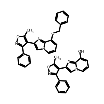 Cc1onc(-c2ccccc2)c1-c1cn2cccc(O)c2n1.Cc1onc(-c2ccccc2)c1-c1cn2cccc(OCc3ccccc3)c2n1